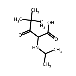 CC(C)NC(C(=O)O)C(=O)C(C)(C)C